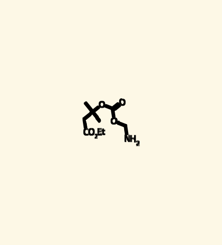 CCOC(=O)CC(C)(C)OC(=O)OCN